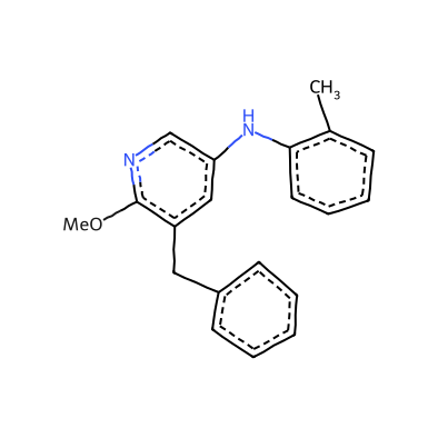 COc1ncc(Nc2ccccc2C)cc1Cc1ccccc1